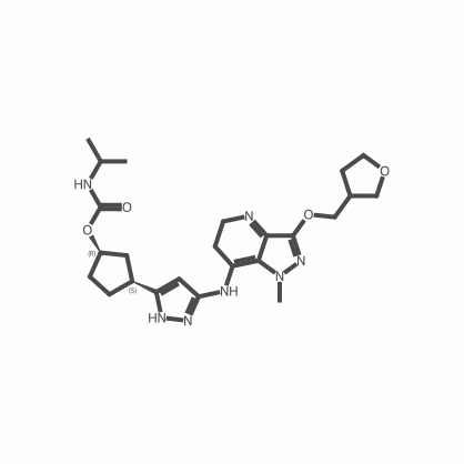 CC(C)NC(=O)O[C@@H]1CC[C@H](c2cc(NC3=c4c(c(OCC5CCOC5)nn4C)=NCC3)n[nH]2)C1